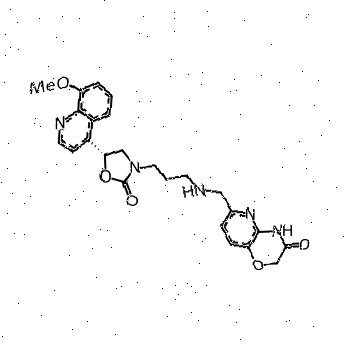 COc1cccc2c([C@@H]3CN(CCCNCc4ccc5c(n4)NC(=O)CO5)C(=O)O3)ccnc12